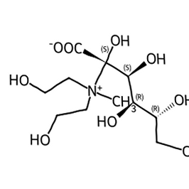 C[N+](CCO)(CCO)[C@@](O)(C(=O)[O-])[C@@H](O)[C@H](O)[C@H](O)CO